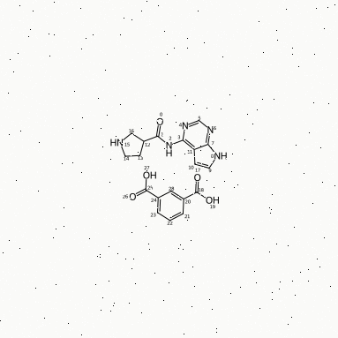 O=C(Nc1ncnc2[nH]ccc12)C1CCNC1.O=C(O)c1cccc(C(=O)O)c1